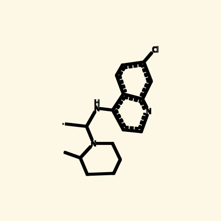 [CH2]C(Nc1ccnc2cc(Cl)ccc12)N1CCCCC1C